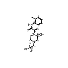 Cc1cccc2cc(N3CCN(CC(F)(F)F)CC3)c(=O)[nH]c12.Cl